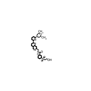 C[C@@H]1CN(c2cccc(-c3ccc4cnc(CNC(=O)c5cccc(S(=O)(=O)CCO)c5)cc4n3)n2)C[C@H](C)O1